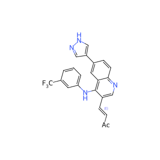 CC(=O)/C=C/c1cnc2ccc(-c3cn[nH]c3)cc2c1Nc1cccc(C(F)(F)F)c1